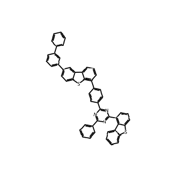 c1ccc(-c2cccc(-c3ccc4sc5c(-c6ccc(-c7nc(-c8ccccc8)nc(-c8cccc9sc%10ccccc%10c89)n7)cc6)cccc5c4c3)c2)cc1